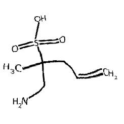 C=CCC(C)(CN)S(=O)(=O)O